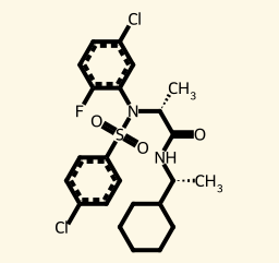 C[C@H](C(=O)N[C@H](C)C1CCCCC1)N(c1cc(Cl)ccc1F)S(=O)(=O)c1ccc(Cl)cc1